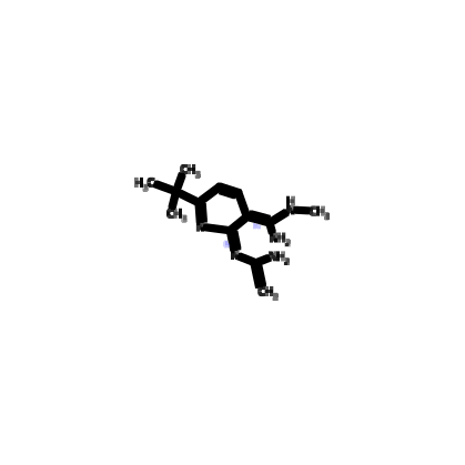 C=C(N)/N=C1/N=C(C(C)(C)C)C=C/C1=C(/N)NC